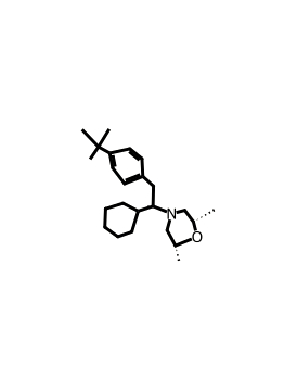 C[C@@H]1CN([C](Cc2ccc(C(C)(C)C)cc2)C2CCCCC2)C[C@H](C)O1